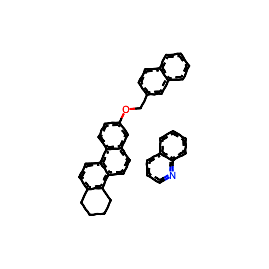 c1ccc2cc(COc3ccc4c(ccc5c6c(ccc54)CCCC6)c3)ccc2c1.c1ccc2ncccc2c1